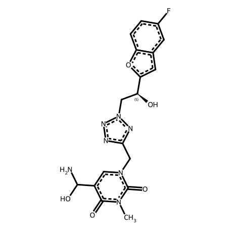 Cn1c(=O)c(C(N)O)cn(Cc2nnn(C[C@H](O)c3cc4cc(F)ccc4o3)n2)c1=O